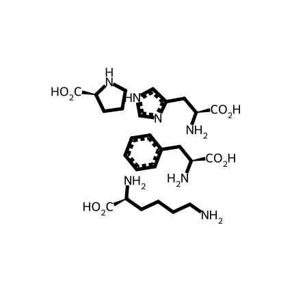 NCCCC[C@H](N)C(=O)O.N[C@@H](Cc1c[nH]cn1)C(=O)O.N[C@@H](Cc1ccccc1)C(=O)O.O=C(O)[C@@H]1CCCN1